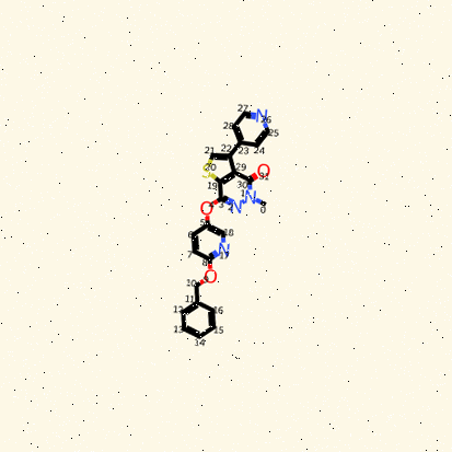 Cn1nc(Oc2ccc(OCc3ccccc3)nc2)c2scc(-c3ccncc3)c2c1=O